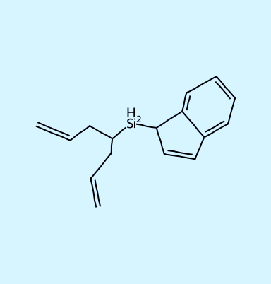 C=CCC(CC=C)[SiH2]C1C=Cc2ccccc21